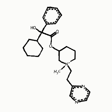 C[N+]1(CCc2cnccn2)CCCC(OC(=O)C(O)(c2ccccc2)C2CCCCC2)C1